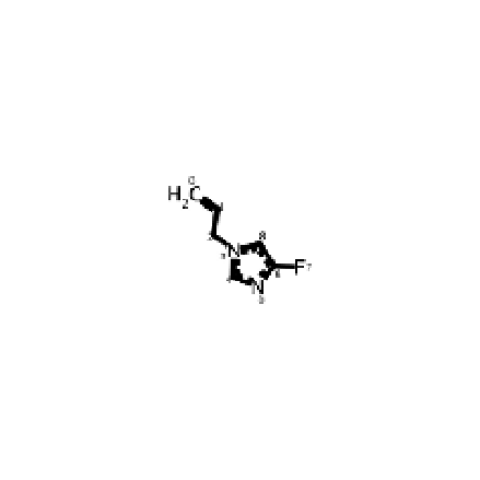 C=CCn1cnc(F)c1